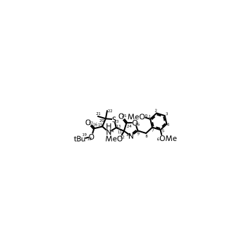 COc1cccc(OC)c1CC1=NC(OC)(C2NC(C(=O)OC(C)(C)C)C(C)(C)S2)C(=O)O1